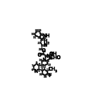 Cc1cc(-c2ncccc2-c2ccc3cnc(C(=O)OC[C@@H](N)Cc4c[nH]c5ccccc45)n3c2)ccc1F.O=CO